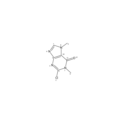 Cn1c(Cl)nc2ncn(C)c2c1=O